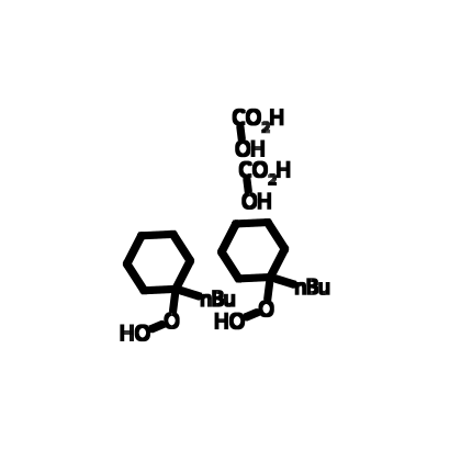 CCCCC1(OO)CCCCC1.CCCCC1(OO)CCCCC1.O=C(O)O.O=C(O)O